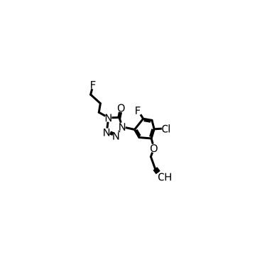 C#CCOc1cc(-n2nnn(CCCF)c2=O)c(F)cc1Cl